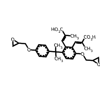 CC(=Cc1c(OCC2CO2)ccc(C(C)(C)c2ccc(OCC3CO3)cc2)c1C=C(C)C(=O)O)C(=O)O